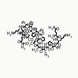 CC(C)C[C@H](NC(=O)[C@@H]1CCCN1C(=O)[C@@H](NC(=O)[C@@H]1CCCN1C(=O)[C@H](CCC(=O)O)NC(=O)[C@H](C)NC(=O)[C@H](C)NC(=O)[C@@H]1CCCN1C(=O)[C@@H](NC(=O)[C@H](CCCCN)NC(=O)[C@@H](N)CCC(N)=O)C(C)C)C(C)C)C(=O)N[C@H](C(=O)N[C@@H](CCCCN)C(=O)N[C@@H](CCC(N)=O)C(=O)N[C@@H](CC(=O)O)C(=O)O)C(C)C